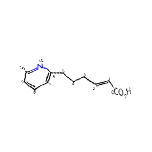 O=C(O)C=CCCCc1ccccn1